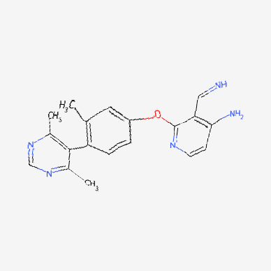 Cc1cc(Oc2nccc(N)c2C=N)ccc1-c1c(C)ncnc1C